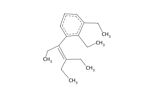 CCC(CC)=C(CC)c1cccc(CC)c1CC